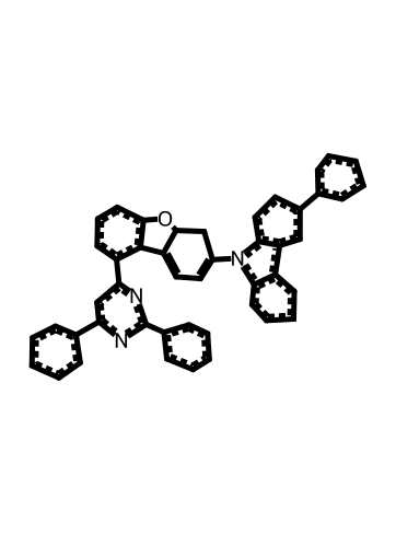 C1=C2c3c(cccc3-c3cc(-c4ccccc4)nc(-c4ccccc4)n3)OC2CC(n2c3ccccc3c3cc(-c4ccccc4)ccc32)=C1